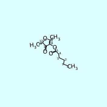 CCCCCC(=O)OC1=C(C)OC(C)C1=O